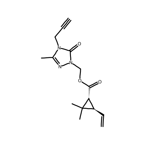 C#CCn1c(C)nn(COC(=O)[C@@H]2[C@@H](C=C)C2(C)C)c1=O